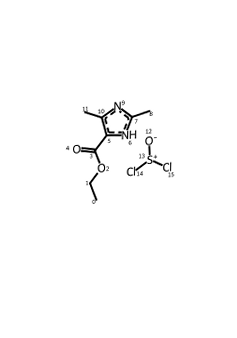 CCOC(=O)c1[nH]c(C)nc1C.[O-][S+](Cl)Cl